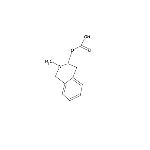 CN1Cc2ccccc2CC1OC(=O)O